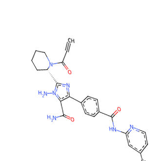 C#CC(=O)N1CCCC[C@H]1c1nc(-c2ccc(C(=O)Nc3cc(CC)ccn3)cc2)c(C(N)=O)n1N